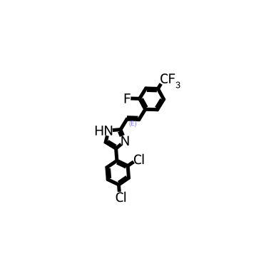 Fc1cc(C(F)(F)F)ccc1/C=C/c1nc(-c2ccc(Cl)cc2Cl)c[nH]1